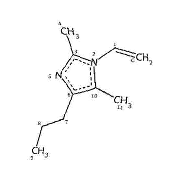 C=Cn1c(C)nc(CCC)c1C